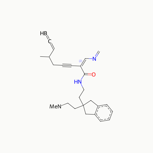 B=C=CC(C)CC#C/C(=C/N=C)C(=O)NCCC1(CCNC)Cc2ccccc2C1